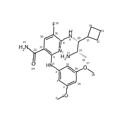 COc1cc(Nc2nc(N[C@H](C3CCC3)[C@H](C)N)c(F)cc2C(N)=O)cc(OC)c1